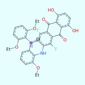 CCOc1cccc(OCC)c1Nc1c(F)c2c(c(F)c1Nc1c(OCC)cccc1OCC)C(=O)c1c(O)ccc(O)c1C2=O